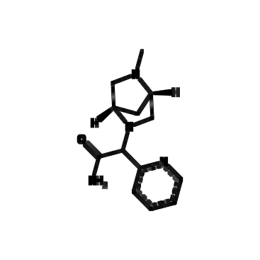 CN1C[C@@H]2C[C@H]1CN2C(C(N)=O)c1ccccn1